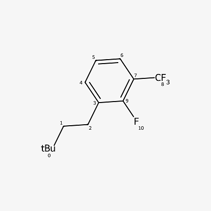 CC(C)(C)CCc1cccc(C(F)(F)F)c1F